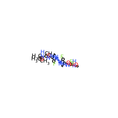 CO[C@@H](C)[C@H](C)NCc1cc(C)c2oc(-c3cc(-c4ccc(F)cc4-c4nncn4CCn4cnnc4-c4cc(F)ccc4-c4cc(-c5nc6cc(CNCC7(O)CCC7)c(F)c(F)c6o5)nc(C5CC5)c4)cc(C4CC4)n3)nc2c1